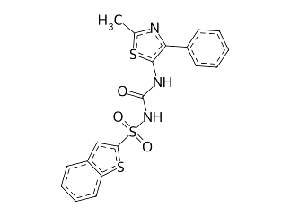 Cc1nc(-c2ccccc2)c(NC(=O)NS(=O)(=O)c2cc3ccccc3s2)s1